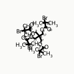 CC(C)(Br)C(=O)OCC(COC(=O)C(C)(C)Br)(COC(=O)C(C)(C)Br)COC(=O)C(C)(C)Br